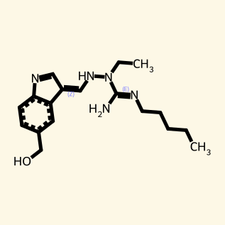 CCCCC/N=C(\N)N(CC)N/C=C1\C=Nc2ccc(CO)cc21